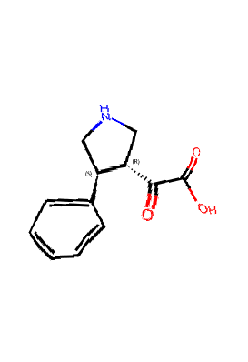 O=C(O)C(=O)[C@H]1CNC[C@@H]1c1ccccc1